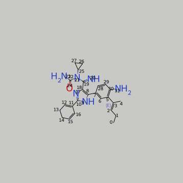 CC/C=C(\C)c1cc(-c2[nH]c(C3=CCCC=C3)nc2C(=N)N(C(N)=O)C2CC2)ccc1N